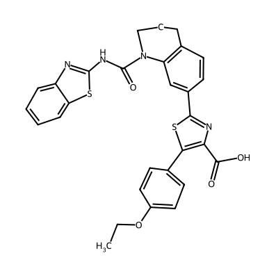 CCOc1ccc(-c2sc(-c3ccc4c(c3)N(C(=O)Nc3nc5ccccc5s3)CCC4)nc2C(=O)O)cc1